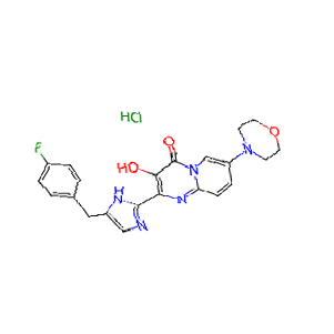 Cl.O=c1c(O)c(-c2ncc(Cc3ccc(F)cc3)[nH]2)nc2ccc(N3CCOCC3)cn12